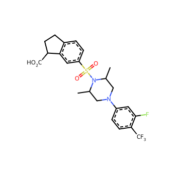 CC1CN(c2ccc(C(F)(F)F)c(F)c2)CC(C)N1S(=O)(=O)c1ccc2c(c1)C(C(=O)O)CC2